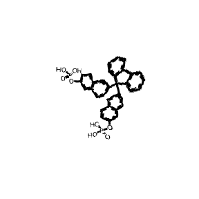 O=P(O)(O)Oc1ccc2cc(C3(c4ccc5cc(OP(=O)(O)O)ccc5c4)c4ccccc4-c4ccccc43)ccc2c1